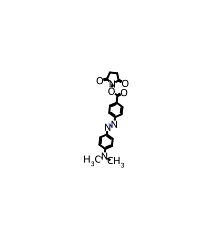 CN(C)c1ccc(/N=N/c2ccc(C(=O)ON3C(=O)CCC3=O)cc2)cc1